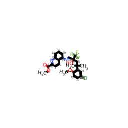 COC(=O)c1ccc2c(/N=C/C(O)(CC(C)(C)c3cc(Cl)ccc3OC)C(F)(F)F)cccc2n1